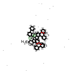 CCc1ccc2c(c1-c1ccccc1-c1ccccc1)C=C(CC(C)C)[CH]2[Zr]([Cl])([Cl])([c]1cccc2c1[SiH2]c1ccccc1-2)[CH]1C(CC(C)C)=Cc2c1ccc(CC)c2-c1ccccc1-c1ccccc1